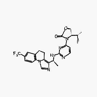 C[C@H](Nc1nccc(N2C(=O)OC[C@@H]2[C@H](C)F)n1)c1ncn2c1CCc1cc(C(F)(F)F)ccc1-2